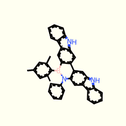 Cc1cc(C)c(B2c3cc4c(cc3-c3cc5[nH]c6ccccc6c5cc3N2c2ccccc2)[nH]c2ccccc24)c(C)c1